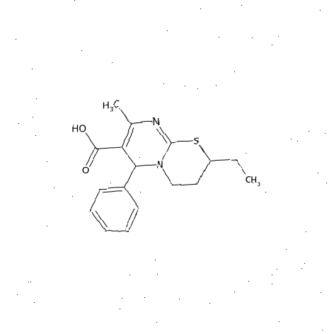 CCC1CCN2C(=NC(C)=C(C(=O)O)C2c2ccccc2)S1